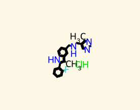 Cc1ncncc1CNCc1ccc2[nH]c(-c3ccccc3F)c(C)c2c1.Cl